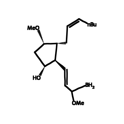 BC(/C=C/[C@@H]1[C@@H](C/C=C\CCCC)[C@@H](OC)C[C@H]1O)OC